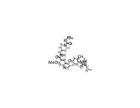 COc1cc2nccc(Oc3ccc(NC(=O)NC4CC4)c(C)c3)c2cc1C(=O)NCC1CCN(C(=O)OC(C)(C)C)CC1